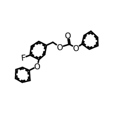 O=C(OCc1ccc(F)c(Oc2ccccc2)c1)Oc1ccccc1